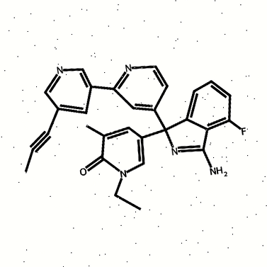 CC#Cc1cncc(-c2cc(C3(c4cc(C)c(=O)n(CC)c4)N=C(N)c4c(F)cccc43)ccn2)c1